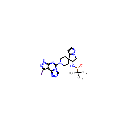 CC(C)(C)[S+]([O-])N[C@@H]1Cn2nccc2C12CCN(c1nc3[nH]nc(I)c3c3nncn13)CC2